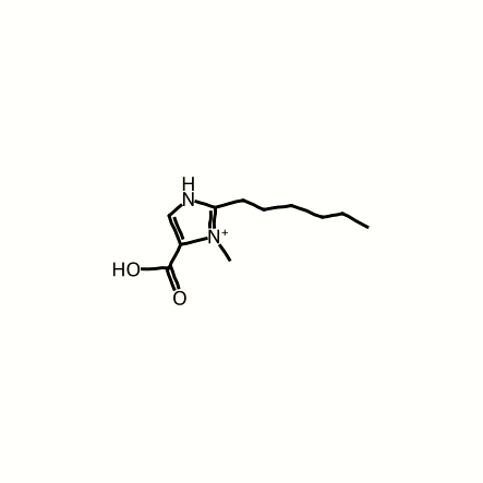 CCCCCCc1[nH]cc(C(=O)O)[n+]1C